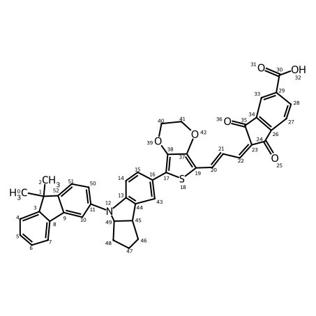 CC1(C)c2ccccc2-c2cc(N3c4ccc(-c5sc(/C=C/C=C6/C(=O)c7ccc(C(=O)O)cc7C6=O)c6c5OCCO6)cc4C4CCCC43)ccc21